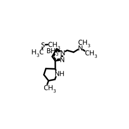 B.CC1CCC(c2ccn(CCN(C)C)n2)NC1.CSC